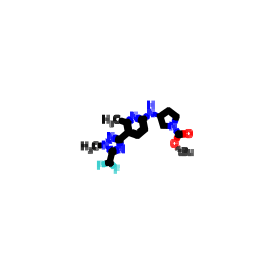 Cc1nc(N[C@H]2CCN(C(=O)OC(C)(C)C)C2)ccc1-c1nc(C(F)F)n(C)n1